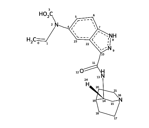 C=CN(C(=O)O)c1ccc2[nH]nc(C(=O)N[C@@H]3CN4CCC3CC4)c2c1